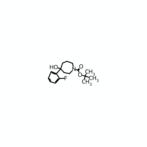 CC(C)(C)OC(=O)N1CCCC(O)(c2ccccc2F)CC1